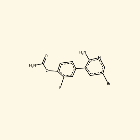 NC(=O)Oc1ccc(-c2cc(Br)cnc2N)cc1F